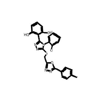 Cc1ccc(-c2nnc(CSc3nnc(-c4c(O)cccc4O)n3-c3ccccc3Cl)o2)cc1